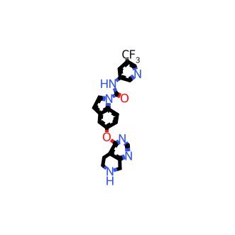 O=C(Nc1cncc(C(F)(F)F)c1)n1ccc2cc(Oc3ncnc4c3CCNC4)ccc21